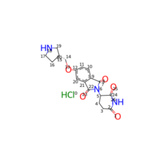 Cl.O=C1CCC(N2C(=O)c3ccc(OC[C@@H]4CCNC4)cc3C2=O)C(=O)N1